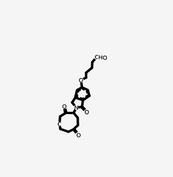 O=CCCCCOc1ccc2c(c1)CN(C1CCC(=O)CCCCC1=O)C2=O